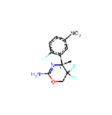 C[C@]1(c2cc([N+](=O)[O-])ccc2F)N=C(N)OCC1(F)F